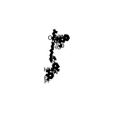 Cc1c(C(C)Nc2nnc(C)c3ccc(N4CCN(CCCCCCCNC(=O)C(CC(C)C)NC(=O)C(O)C(Cc5ccccc5)NC(=O)O)CC4)cc23)cccc1C(F)(F)F